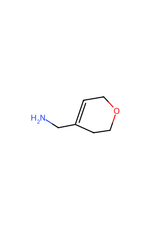 NCC1=CCOCC1